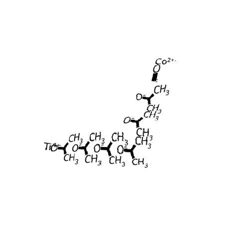 CC(C)[O-].CC(C)[O-].CC(C)[O-].CC(C)[O-].CC(C)[O-].CC(C)[O-].[C]=O.[Co+2].[Ti+4]